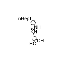 CCCCCCCc1ccc(Nc2nc(-c3ccc(O)c(O)c3)cs2)cc1